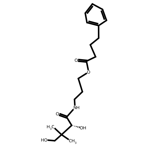 CC(C)(CO)[C@@H](O)C(=O)NCCCOC(=O)CCCc1ccccc1